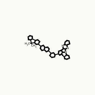 CC1(C)c2ccccc2-c2ccc(-c3ccc4cc(-c5cccc(-c6cc7c8ccccc8n8c9nc%10ccccc%10nc9c(c6)c78)c5)ccc4c3)cc21